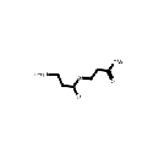 CCCCCCCCCC(CC)SCCC(=O)OC